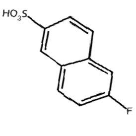 O=S(=O)(O)c1ccc2cc(F)ccc2c1